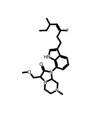 CCC(C)/C=C(/F)CCc1c[nH]c2c(N3C(=O)C(COC)N4CCN(C)CC34)cccc12